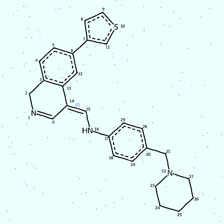 C1=NCc2ccc(-c3ccsc3)cc2/C1=C/Nc1ccc(CN2CCCCC2)cc1